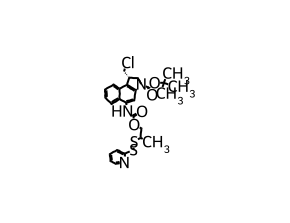 CC(COC(=O)Nc1cc2c(c3ccccc13)[C@H](CCl)CN2C(=O)OC(C)(C)C)SSc1ccccn1